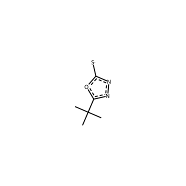 CC(C)(C)c1nnc([S])o1